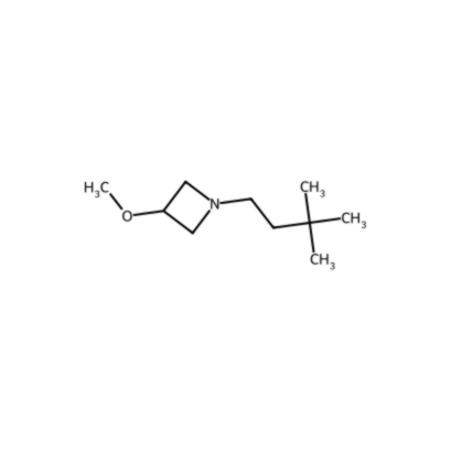 COC1CN(CCC(C)(C)C)C1